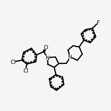 O=C(c1ccc(Cl)c(Cl)c1)N1CC(CN2CCC(c3ccc(F)cc3)CC2)C(c2ccccc2)C1